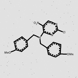 COc1ccc(CN(Cc2ccc(OC)cc2)c2nc(Cl)ncc2[N+](=O)[O-])cc1